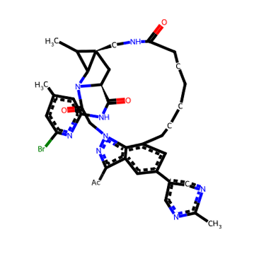 CC(=O)c1nn2c3c(cc(-c4cnc(C)nc4)cc13)CCCCCCC(=O)NC[C@@]13C[C@@H](C(=O)Nc4cc(C)cc(Br)n4)N(C(=O)C2)C1C3C